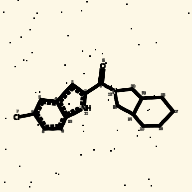 O=C(c1cc2cc(Cl)ccc2[nH]1)N1CC2CCCCC2C1